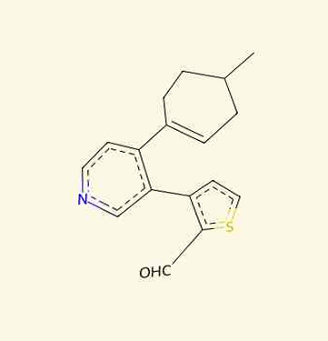 CC1CC=C(c2ccncc2-c2ccsc2C=O)CC1